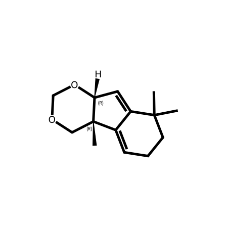 CC1(C)CCC=C2C1=C[C@H]1OCOC[C@@]21C